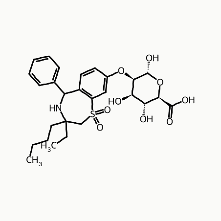 CCCCC1(CC)CS(=O)(=O)c2cc(O[C@@H]3[C@H](O)[C@@H](O)[C@H](C(=O)O)O[C@H]3O)ccc2C(c2ccccc2)N1